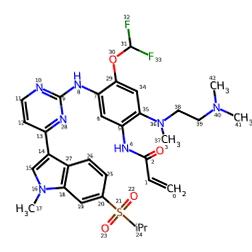 C=CC(=O)Nc1cc(Nc2nccc(-c3cn(C)c4cc(S(=O)(=O)C(C)C)ccc34)n2)c(OC(F)F)cc1N(C)CCN(C)C